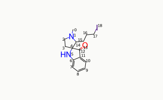 CN1CCC2(Nc3ccccc3C2=O)C1CCCI